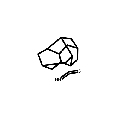 C1C2CC3C4CC5CC(C14)C(C2)C3C5.N=C=S